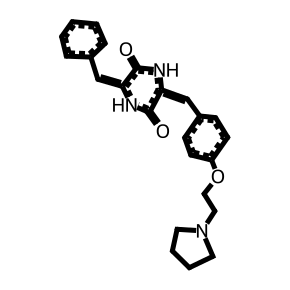 O=c1[nH]c(=Cc2ccc(OCCN3CCCC3)cc2)c(=O)[nH]c1=Cc1ccccc1